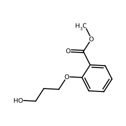 COC(=O)c1ccccc1OCCCO